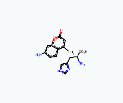 Cc1cc(=O)oc2cc(N)ccc12.N[C@@H](Cc1c[nH]cn1)C(=O)O